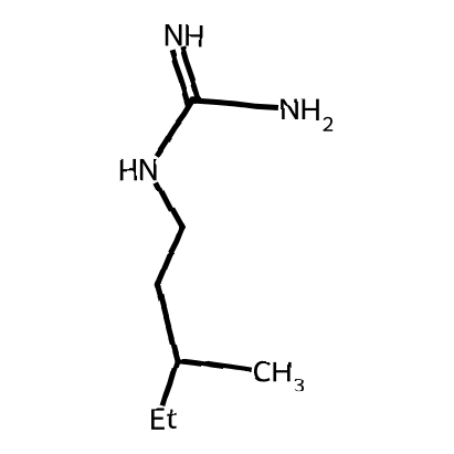 CCC(C)CCNC(=N)N